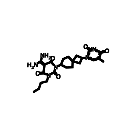 CCCCN1C(=O)C(=C(N)N)C(=O)N(C2CCC3(CC2)CC(n2cc(C)c(=O)[nH]c2=O)C3)C1=O